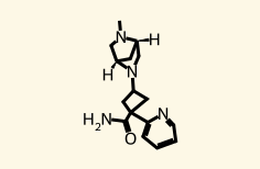 CN1C[C@@H]2C[C@H]1CN2C1CC(C(N)=O)(c2ccccn2)C1